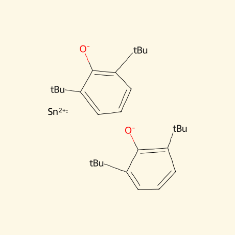 CC(C)(C)c1cccc(C(C)(C)C)c1[O-].CC(C)(C)c1cccc(C(C)(C)C)c1[O-].[Sn+2]